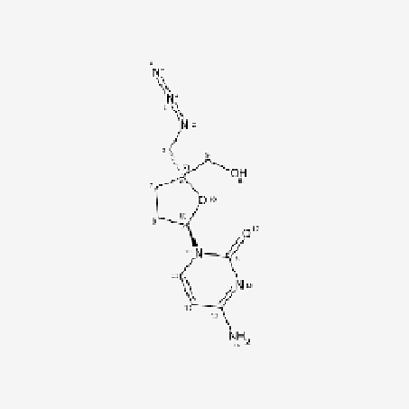 [N-]=[N+]=NC[C@@]1(CO)CC[C@H](n2ccc(N)nc2=O)O1